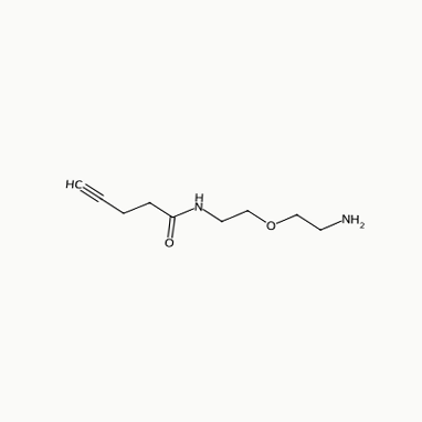 C#CCCC(=O)NCCOCCN